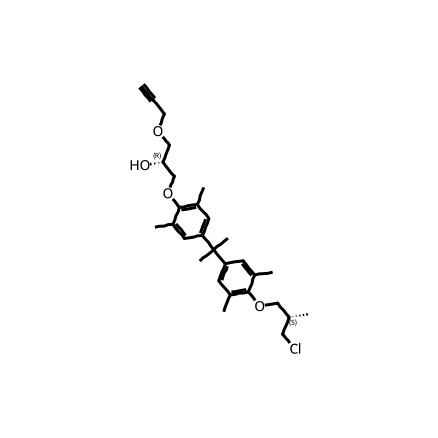 C#CCOC[C@@H](O)COc1c(C)cc(C(C)(C)c2cc(C)c(OC[C@H](C)CCl)c(C)c2)cc1C